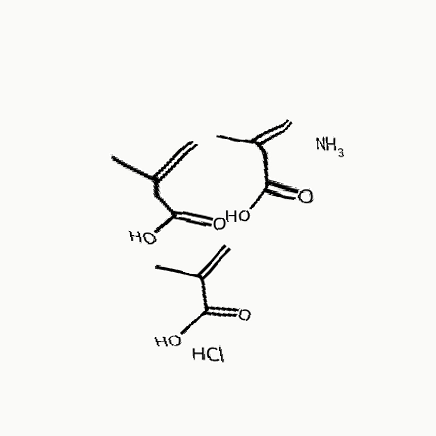 C=C(C)C(=O)O.C=C(C)C(=O)O.C=C(C)C(=O)O.Cl.N